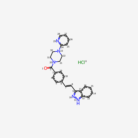 Cl.O=C(c1ccc(C=Cc2n[nH]c3ccccc23)cc1)N1CCN(c2ccccn2)CC1